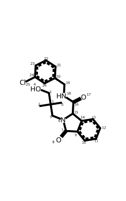 CC(C)(CO)CN1C(=O)c2ccccc2C1C(=O)NCc1cccc(Cl)c1